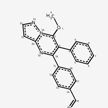 COc1c(-c2ccccc2)c(-c2ccc(C=O)cc2)nc2ccnn12